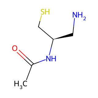 CC(=O)N[C@H](CN)CS